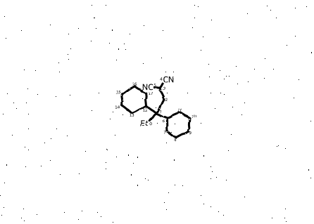 CCC(CC(C#N)C#N)(C1CCCCC1)C1CCCCC1